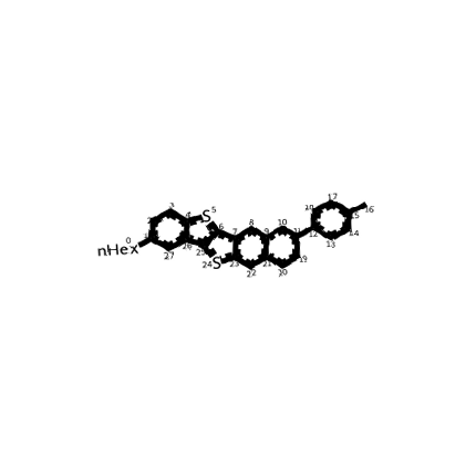 CCCCCCc1ccc2sc3c4cc5cc(-c6ccc(C)cc6)ccc5cc4sc3c2c1